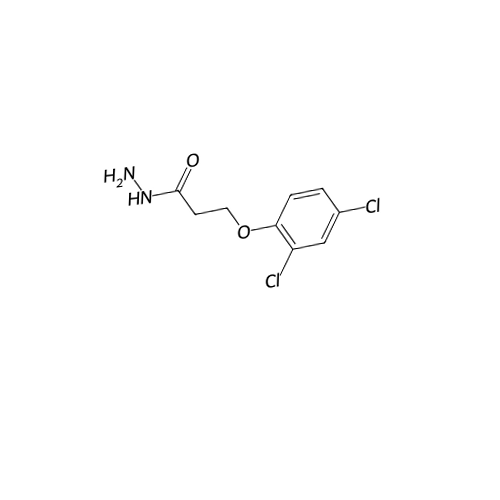 NNC(=O)CCOc1ccc(Cl)cc1Cl